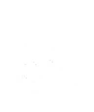 Cc1cc2c(=O)[nH]c(=O)n(-c3ccc(I)cc3F)c2n(C)c1=O